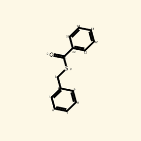 O=C(SCc1ccccc1)c1ccccc1